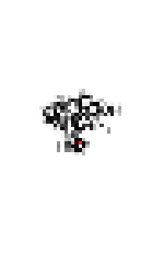 [2H]C([2H])(Oc1nc(N2CC3CCC2CN3)c2cc(C(F)(F)F)n(-c3cc(O)cc4ccc(F)c(F)c34)c(=O)c2n1)[C@@]12CCCN1C[C@]([2H])(F)C2